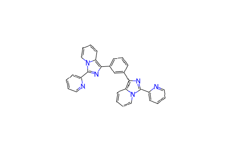 c1ccc(-c2nc(-c3cccc(-c4nc(-c5ccccn5)n5ccccc45)c3)c3ccccn23)nc1